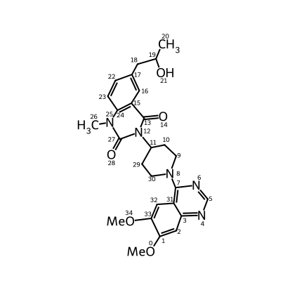 COc1cc2ncnc(N3CCC(n4c(=O)c5cc(CC(C)O)ccc5n(C)c4=O)CC3)c2cc1OC